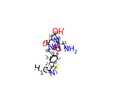 Cc1ncsc1-c1ccc(CNC(=O)C2CC(O)CN2C(=O)CN)cc1